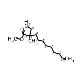 CCCCCCCCCC(C)(CC)C(=O)OC